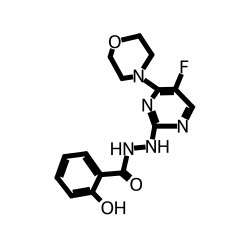 O=C(NNc1ncc(F)c(N2CCOCC2)n1)c1ccccc1O